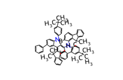 CC(C)(C)c1ccc(N2B3c4ccc5c(c4N(c4ccc(C(C)(C)C)cc4-c4ccccc4)c4cc6c(c(c43)-c3cc(-c4ccccc4)ccc32)C(C)(C)c2ccccc2-6)C(C)(C)c2ccccc2-5)cc1